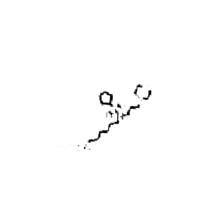 O=C(O)NCCCCCCN(CCCN1CCOCC1)S(=O)(=O)C1CCCC1